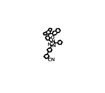 N#Cc1cccc(-c2ccc(-c3nc(-c4ccccc4)nc(-c4cccc5c4Oc4cc6ccccc6cc4C54c5ccccc5-c5ccccc54)n3)cc2)c1